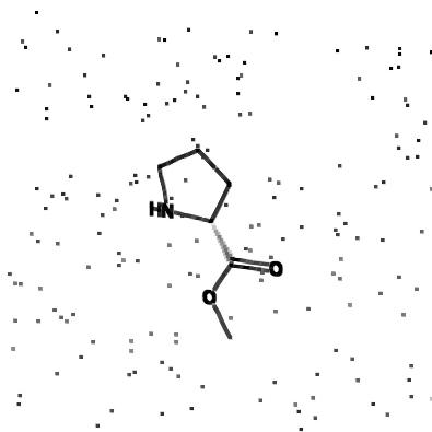 COC(=O)[C@H]1C[CH]CN1